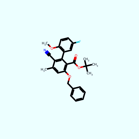 COc1ccc(F)cc1-c1c(C#N)c(C)cc(OCc2ccccc2)c1C(=O)OC(C)(C)C